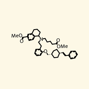 COC(=O)CCCCN(CCc1ccccc1OC[C@H]1CC[C@H](C=Cc2ccccc2)CC1)C1CCCc2cc(C(=O)OC)ccc21